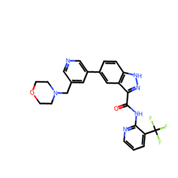 O=C(Nc1ncccc1C(F)(F)F)c1n[nH]c2ccc(-c3cncc(CN4CCOCC4)c3)cc12